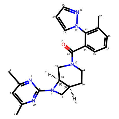 Cc1cc(C)nc(N2C[C@@H]3CCN(C(=O)c4cccc(C)c4-n4cccn4)C[C@@H]32)n1